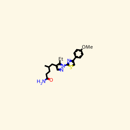 CCc1c(CC(C)CCC(N)=O)cnn1-c1nc(-c2ccc(OC)cc2)cs1